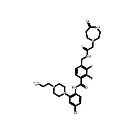 O=C1CCN(CC(=O)NCc2ccc(C(=O)Nc3ccc(Cl)cc3N3CCN(CCC(F)(F)F)CC3)c(F)c2F)CCN1